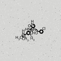 Cc1cc(C2=NC(C)(C)CN2)cc2[nH]c(-c3c(NCC(O)c4cccc(Cl)c4)cc[nH]c3=O)nc12